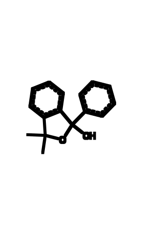 CC1(C)OC(O)(c2ccccc2)c2ccccc21